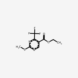 CCOC(=O)c1cnc(SC)nc1C(F)(F)F